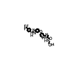 Cn1c(Nc2ccc(C(F)(F)F)cc2)nc2cc(Oc3ccnc(-c4ncc(C(=O)NCCO)[nH]4)c3)ccc21